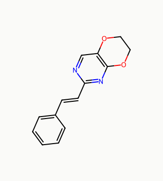 C(=C\c1ncc2c(n1)OCCO2)/c1ccccc1